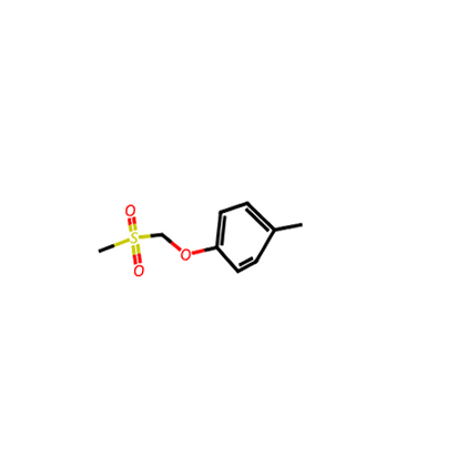 Cc1ccc(OCS(C)(=O)=O)cc1